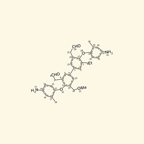 CCc1cc(-c2cc(CC=O)c(Oc3ccc(N)cc3C)c(COC)c2)cc(CC=O)c1Oc1ccc(N)cc1C